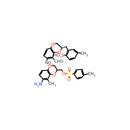 Cc1ccc(S(=O)(=O)O)c(C[C@@H]2COc3ccc([N+](=O)[O-])c(C=O)c3O2)c1.Cc1ccc(S(=O)(=O)OCC2COc3ccc(N)c(C)c3O2)cc1